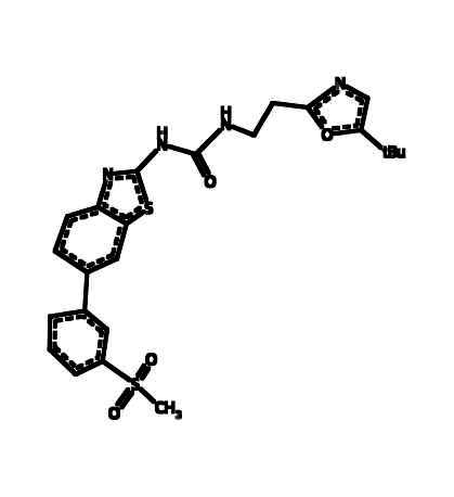 CC(C)(C)c1cnc(CCNC(=O)Nc2nc3ccc(-c4cccc(S(C)(=O)=O)c4)cc3s2)o1